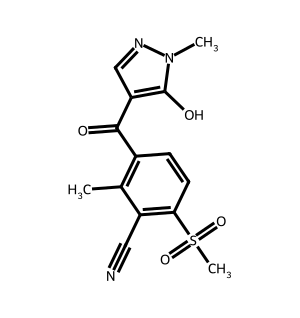 Cc1c(C(=O)c2cnn(C)c2O)ccc(S(C)(=O)=O)c1C#N